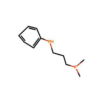 CP(C)CCCPc1ccccc1